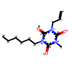 C=CCn1c(=O)n(C)c(=O)n(CCCCCC)c1=O